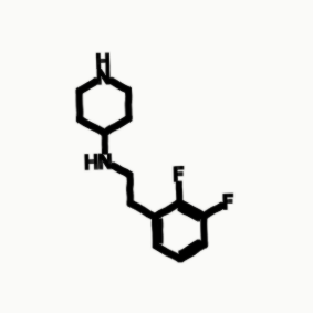 Fc1cccc(CCNC2CCNCC2)c1F